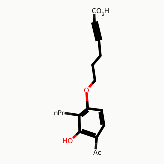 CCCc1c(OCCCC#CC(=O)O)ccc(C(C)=O)c1O